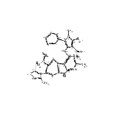 COc1cc2c(cc1-c1c(C)noc1C)[nH]c1nc(C)nc(Nc3c(C(N)=O)c(C)n(C)c3-c3ccccc3)c12